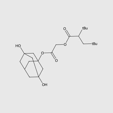 CC(C)(C)CC(C(=O)OCC(=O)OC12CC3CC(O)(CC(O)(C3)C1)C2)C(C)(C)C